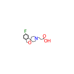 O=C(O)CCN1CCC2(CC1)OCc1ccc(F)cc12